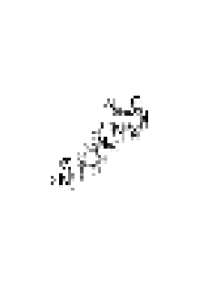 CN(C)C(=O)Cc1ccc(N2CCCN(c3ccnc(Cl)c3C#N)CC2)cc1